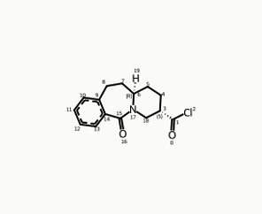 O=C(Cl)[C@H]1CC[C@@H]2CCc3ccccc3C(=O)N2C1